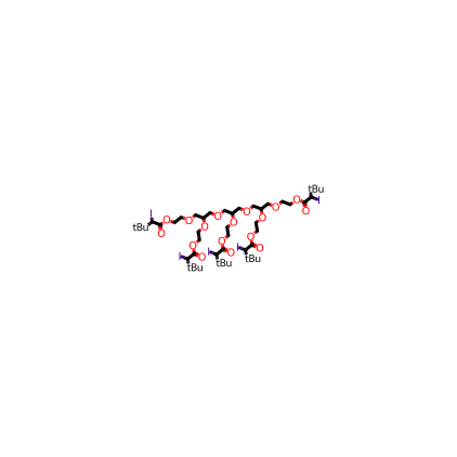 CC(C)(C)C(I)C(=O)OCCOCC(COCC(COCC(COCCOC(=O)C(I)C(C)(C)C)OCCOC(=O)C(I)C(C)(C)C)OCCOC(=O)C(I)C(C)(C)C)OCCOC(=O)C(I)C(C)(C)C